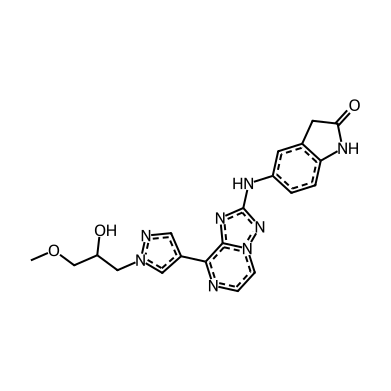 COCC(O)Cn1cc(-c2nccn3nc(Nc4ccc5c(c4)CC(=O)N5)nc23)cn1